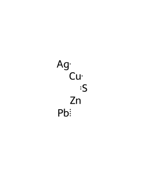 [Ag].[Cu].[Pb].[S].[Zn]